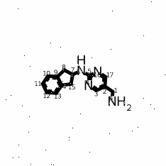 NCc1cnc(NC2Cc3ccccc3C2)nc1